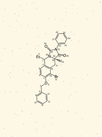 CCC1c2ccc(OCc3ccccc3)c(Br)c2C[C@H]2C(=O)N(c3ccccc3)C(=O)N12